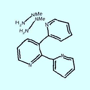 CNN.CNN.c1ccc(-c2cccnc2-c2ccccn2)nc1